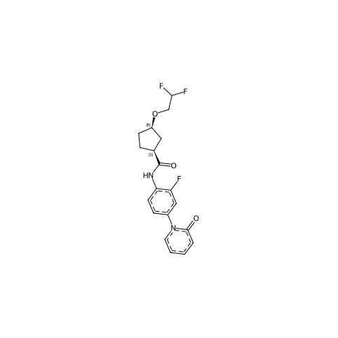 O=C(Nc1ccc(-n2ccccc2=O)cc1F)[C@H]1CC[C@@H](OCC(F)F)C1